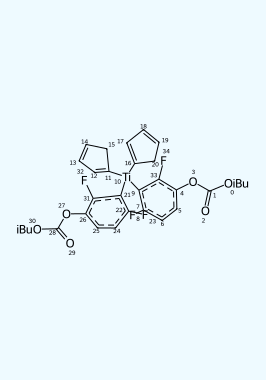 CC(C)COC(=O)Oc1ccc(F)[c]([Ti]([C]2=CC=CC2)([C]2=CC=CC2)[c]2c(F)ccc(OC(=O)OCC(C)C)c2F)c1F